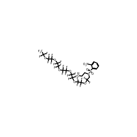 O=[N+]([O-])c1ccccc1S(=O)(=O)N(CCO)CC(F)(F)OC(F)(F)C(F)(F)OC(F)(F)C(F)(F)OC(F)(F)C(F)(F)OC(F)(F)C(F)(F)OC(F)(F)C(F)(F)OC(F)(F)C(F)(F)F